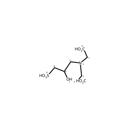 O=C(O)CN(CC(=O)O)CC(O)CS(=O)(=O)O